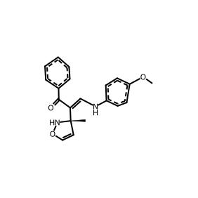 COc1ccc(N/C=C(/C(=O)c2ccccc2)[C@]2(C)C=CON2)cc1